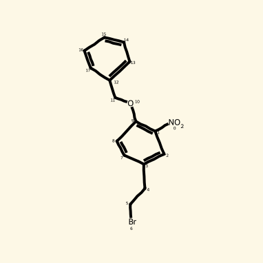 O=[N+]([O-])c1cc(CCBr)ccc1OCc1ccccc1